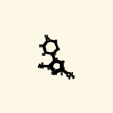 CC(=O)c1nn(C)cc1N1CCOCC1